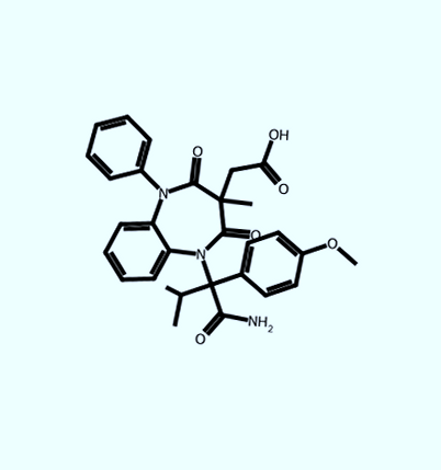 COc1ccc(C(C(N)=O)(C(C)C)N2C(=O)C(C)(CC(=O)O)C(=O)N(c3ccccc3)c3ccccc32)cc1